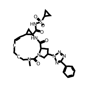 CN1CCCCC=CC2CC2(C(=O)NS(=O)(=O)C2CC2)NC(=O)C2CC(n3nnc(-c4ccccc4)n3)CN2C1=O